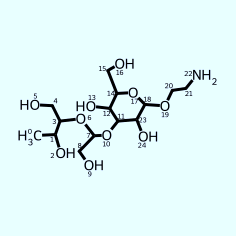 CC(O)C(CO)OC(CO)OC1C(O)C(CO)OC(OCCN)C1O